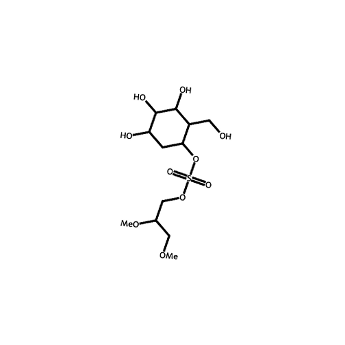 COCC(COS(=O)(=O)OC1CC(O)C(O)C(O)C1CO)OC